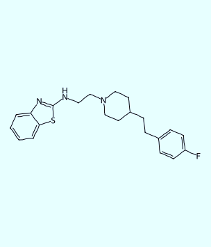 Fc1ccc(CCC2CCN(CCNc3nc4ccccc4s3)CC2)cc1